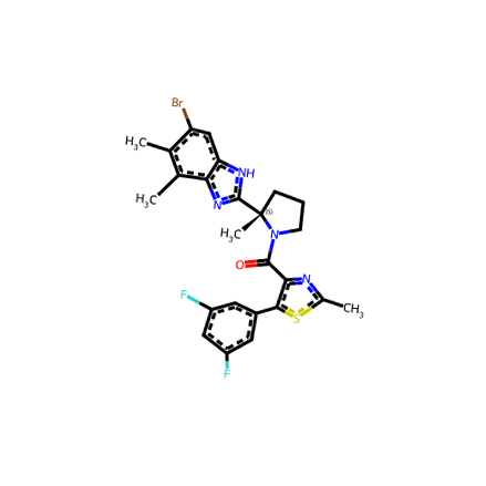 Cc1nc(C(=O)N2CCC[C@@]2(C)c2nc3c(C)c(C)c(Br)cc3[nH]2)c(-c2cc(F)cc(F)c2)s1